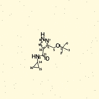 CC(C)(C)OCc1n[nH]cc1C(=O)NC1CC1